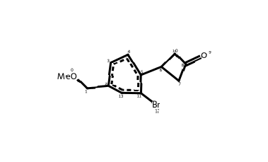 COCc1ccc(C2CC(=O)C2)c(Br)c1